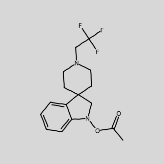 CC(=O)ON1CC2(CCN(CC(F)(F)F)CC2)c2ccccc21